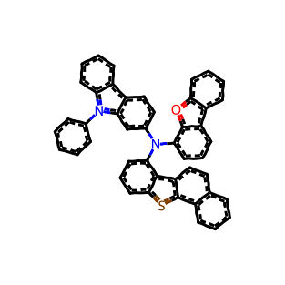 c1ccc(-n2c3ccccc3c3ccc(N(c4cccc5c4oc4ccccc45)c4cccc5sc6c7ccccc7ccc6c45)cc32)cc1